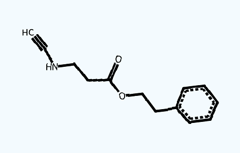 C#CNCCC(=O)OCCc1ccccc1